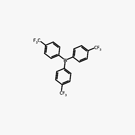 FC(F)(F)c1cc[c]([Bi]([c]2ccc(C(F)(F)F)cc2)[c]2ccc(C(F)(F)F)cc2)cc1